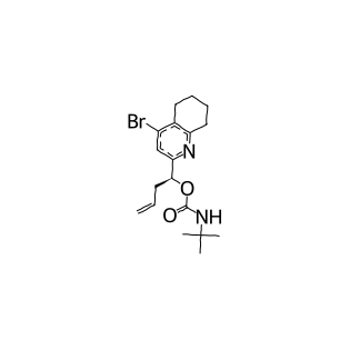 C=CC[C@H](OC(=O)NC(C)(C)C)c1cc(Br)c2c(n1)CCCC2